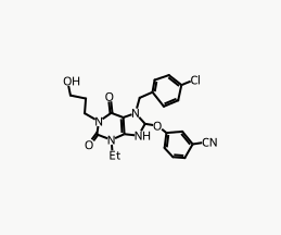 CCn1c2c(c(=O)n(CCCO)c1=O)N(Cc1ccc(Cl)cc1)C(Oc1cccc(C#N)c1)N2